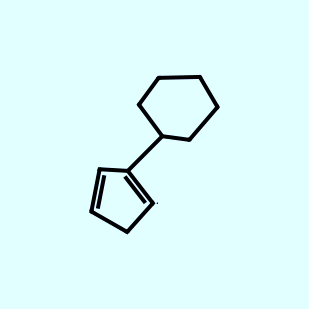 [C]1=C(C2CCCCC2)C=CC1